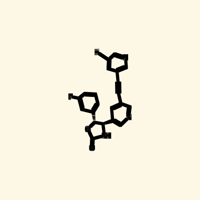 O=C1N[C@H](c2cncc(C#Cc3cncc(F)c3)c2)[C@@H](c2cccc(F)c2)O1